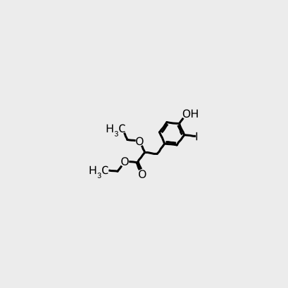 CCOC(=O)C(Cc1ccc(O)c(I)c1)OCC